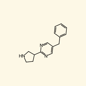 c1ccc(Cc2cnc(C3CCNC3)nc2)cc1